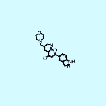 O=c1cc(-c2ccc3[nH]ncc3c2)oc2ncc(CN3CCOCC3)cc12